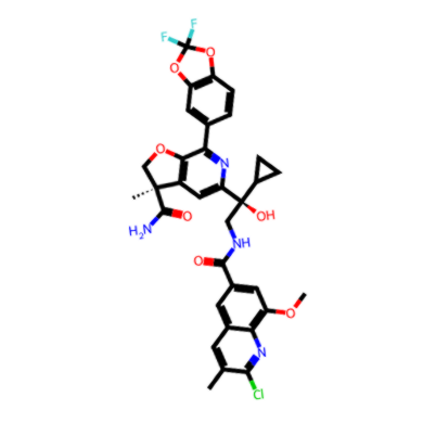 COc1cc(C(=O)NC[C@](O)(c2cc3c(c(-c4ccc5c(c4)OC(F)(F)O5)n2)OC[C@]3(C)C(N)=O)C2CC2)cc2cc(C)c(Cl)nc12